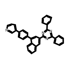 c1ccc(-c2nc(-c3ccccc3)nc(-c3cc(-c4ccc(-c5cccnc5)cc4)c4ccccc4c3)n2)cc1